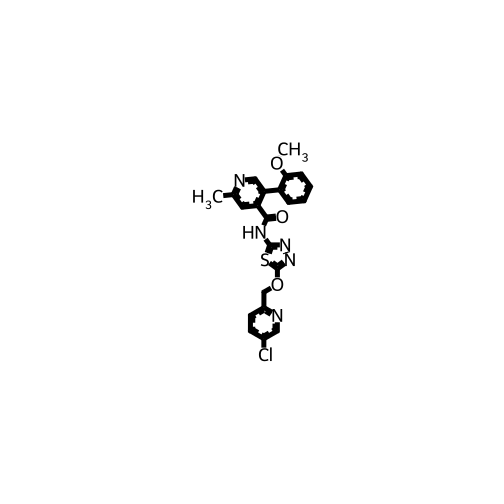 COc1ccccc1-c1cnc(C)cc1C(=O)Nc1nnc(OCc2ccc(Cl)cn2)s1